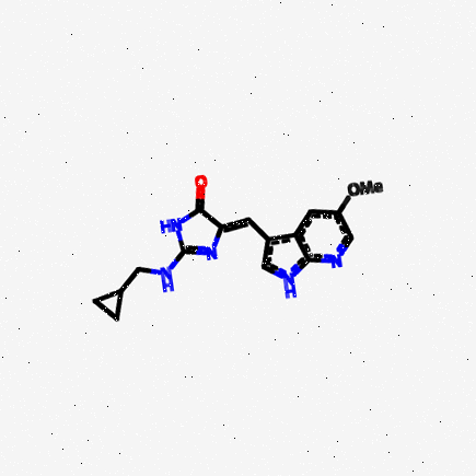 COc1cnc2[nH]cc(/C=C3\N=C(NCC4CC4)NC3=O)c2c1